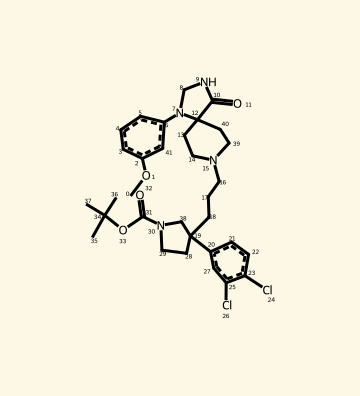 COc1cccc(N2CNC(=O)C23CCN(CCCC2(c4ccc(Cl)c(Cl)c4)CCN(C(=O)OC(C)(C)C)C2)CC3)c1